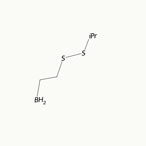 BCCSSC(C)C